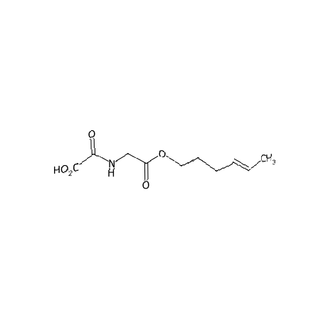 C/C=C/CCCOC(=O)CNC(=O)C(=O)O